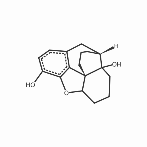 Oc1ccc2c3c1OC1CCCC4(O)[C@H](CCC[C@]314)C2